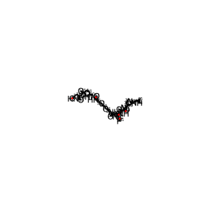 O=C1CCC(N2Cc3cc(CNC(=O)NCCOCCOCCNC(=O)n4cc(NC(=O)c5coc(-c6ccnc(NCC7CC7)c6)n5)c(C(F)F)n4)ccc3C2=O)C(=O)N1